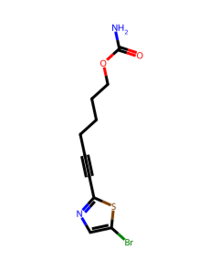 NC(=O)OCCCCC#Cc1ncc(Br)s1